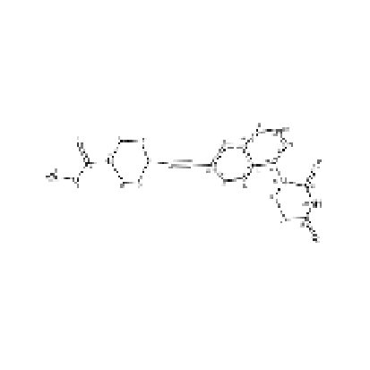 CC(C)(C)OC(=O)N1CCC(C#Cc2ccc3c(N4CCC(=O)NC4=O)cncc3c2)CC1